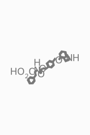 O=C(N[C@@H](Cc1ccccc1)C(=O)O)OCc1ccc(COc2cccc3[nH]ccc23)cc1